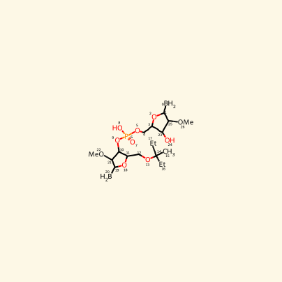 BC1OC(COP(=O)(O)OC2C(COC(C)(CC)CC)OC(B)C2OC)C(O)C1OC